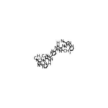 [C-]#[N+]c1cnn(-c2ncccn2)c1/N=N/c1c(C)nn2c(-c3ccc(-c4n[nH]c5c(/N=N/c6c(C#N)cnn6-c6ccccn6)c(C)nn45)nn3)n[nH]c12